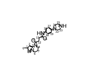 Cc1cc2n(n1)CCCN2C(=O)CCC(=O)Nc1ccc(N2CCNCC2)cc1